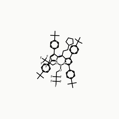 CC(C)(C)c1ccc(C2=CC(c3ccc(C(C)(C)C)cc3)=N/C2=C(/CCC2CCCC2)c2c(-c3ccc(C(C)(C)C)cc3)cc(-c3ccc(C(C)(C)C)cc3)n2B(OCC(F)(F)C(F)(F)F)OCC(F)(F)C(F)(F)F)cc1